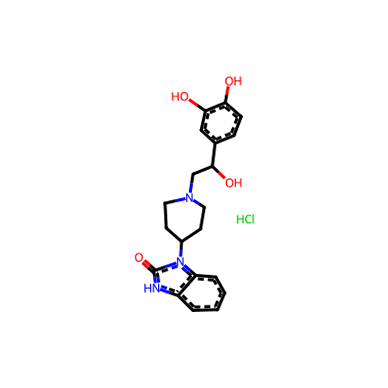 Cl.O=c1[nH]c2ccccc2n1C1CCN(CC(O)c2ccc(O)c(O)c2)CC1